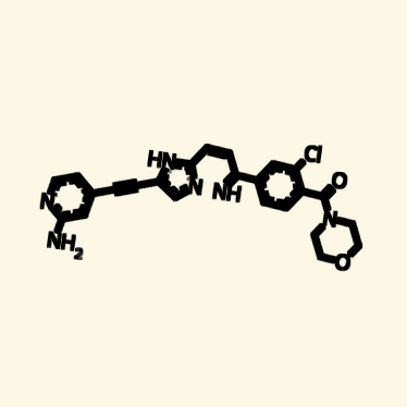 N=C(/C=C\c1ncc(C#Cc2ccnc(N)c2)[nH]1)c1ccc(C(=O)N2CCOCC2)c(Cl)c1